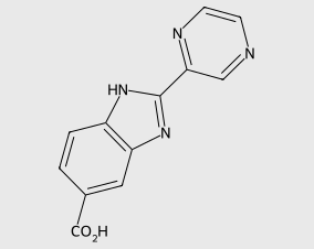 O=C(O)c1ccc2[nH]c(-c3cnccn3)nc2c1